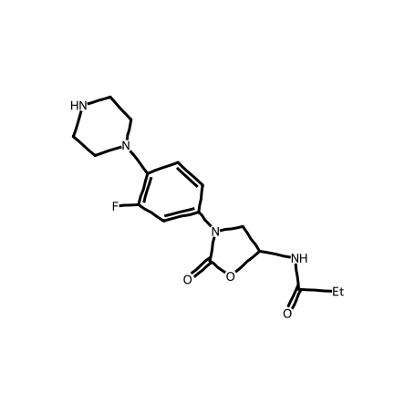 CCC(=O)NC1CN(c2ccc(N3CCNCC3)c(F)c2)C(=O)O1